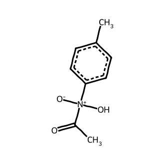 CC(=O)[N+]([O-])(O)c1ccc(C)cc1